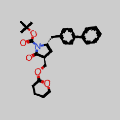 CC(C)(C)OC(=O)N1C(=O)[C@H](COC2CCCCO2)C[C@H]1Cc1ccc(-c2ccccc2)cc1